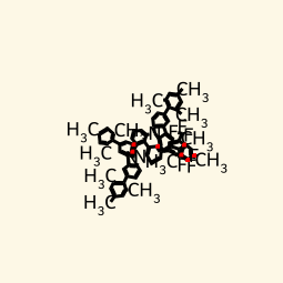 Cc1cc(C)c(-c2ccc3c(c2)c2cc(-c4c(C)cc(C)cc4C)ccc2n3-c2ccc(-c3cc(C(F)(F)F)cc(C(F)(F)F)c3)cc2-c2c(C#N)cccc2-n2c3ccc(-c4c(C)cc(C)cc4C)cc3c3cc(-c4c(C)cc(C)cc4C)ccc32)c(C)c1